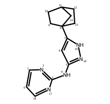 c1cnc(Nc2cc(C34CCC(CC3)C4)[nH]n2)nc1